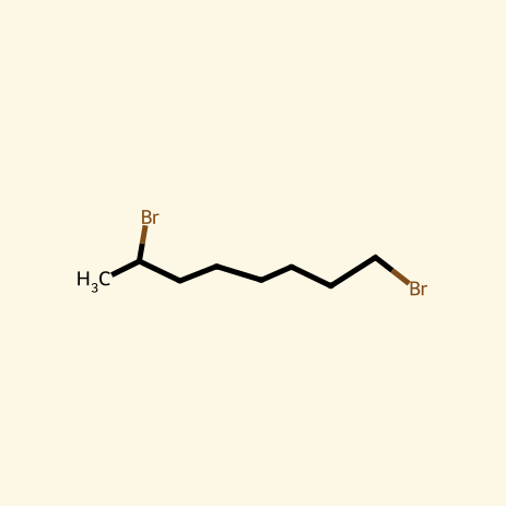 CC(Br)CCCCCCBr